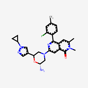 Cc1cc2c(-c3ccc(C(F)(F)F)cc3F)nc(N3CC(c4cnn(C5CC5)c4)O[C@@H](N)C3)cc2c(=O)n1C